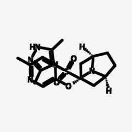 Cc1cnc(O[C@@H]2C[C@H]3CC[C@@H](C2)N3CS(=O)(=O)c2c(C)n[nH]c2C)cn1